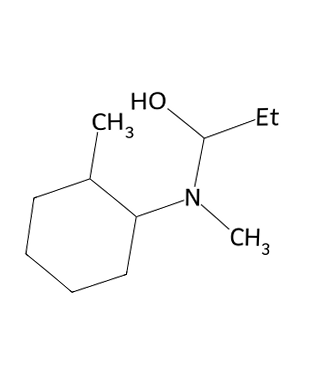 CCC(O)N(C)C1CCCCC1C